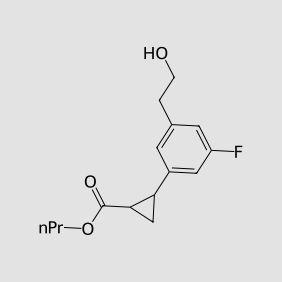 CCCOC(=O)C1CC1c1cc(F)cc(CCO)c1